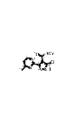 COC(=O)c1c(-c2nccc(C)n2)n[nH]c1Cl